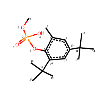 COP(=O)(O)Oc1c(C)cc(C(C)(C)C)cc1C(C)(C)C